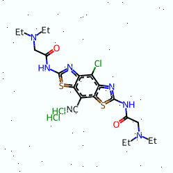 CCN(CC)CC(=O)Nc1nc2c(Cl)c3nc(NC(=O)CN(CC)CC)sc3c(C#N)c2s1.Cl.Cl